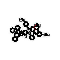 CC(C)(C)c1ccc(N2c3cc(N4c5ccccc5C5(c6ccccc6)Cc6ccccc6CC45C)ccc3B3c4ccccc4N(c4ccc(C(C)(C)C)cc4-c4ccccc4)c4cc(C(C)(C)C)cc2c43)cc1